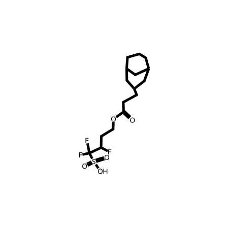 O=C(CCC1CC2CCCC(C2)C1)OCCC(F)C(F)(F)S(=O)(=O)O